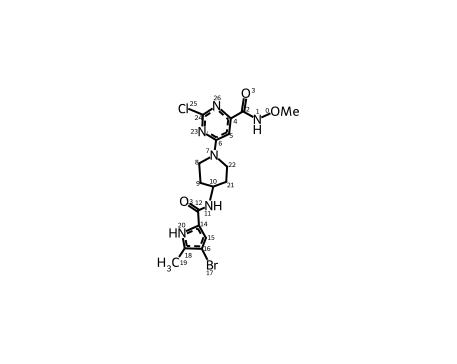 CONC(=O)c1cc(N2CCC(NC(=O)c3cc(Br)c(C)[nH]3)CC2)nc(Cl)n1